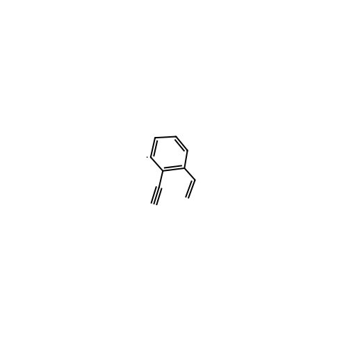 C#Cc1[c]cccc1C=C